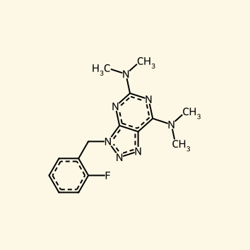 CN(C)c1nc(N(C)C)c2nnn(Cc3ccccc3F)c2n1